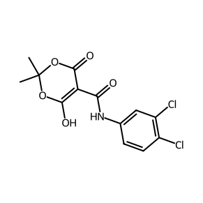 CC1(C)OC(=O)C(C(=O)Nc2ccc(Cl)c(Cl)c2)=C(O)O1